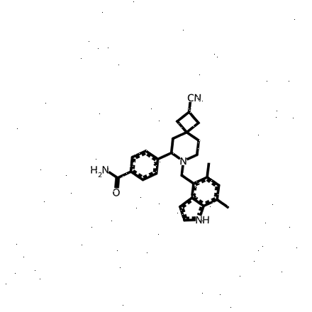 Cc1cc(C)c2[nH]ccc2c1CN1CCC2(CC(C#N)C2)CC1c1ccc(C(N)=O)cc1